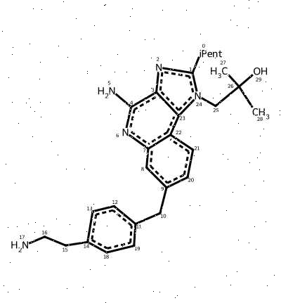 CCCC(C)c1nc2c(N)nc3cc(Cc4ccc(CCN)cc4)ccc3c2n1CC(C)(C)O